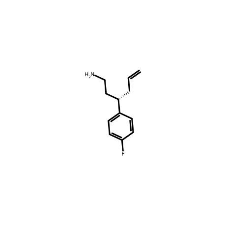 C=CC[C@@H](CCN)c1ccc(F)cc1